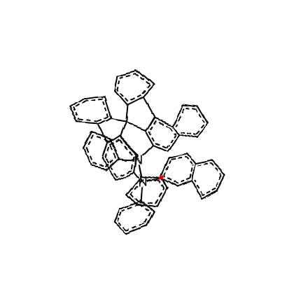 c1ccc(N(c2ccc3c(c2)C2(c4ccccc4-3)c3ccccc3-c3c2c(N(c2ccccc2)c2ccccc2)cc2ccccc32)c2ccc3ccccc3c2)cc1